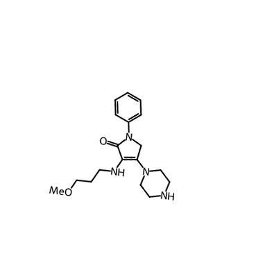 COCCCNC1=C(N2CCNCC2)CN(c2ccccc2)C1=O